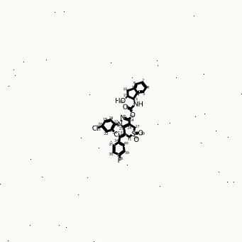 O=C(N[C@@H]1c2ccccc2C[C@@H]1O)Oc1nn(-c2ccc(Cl)cc2Cl)c2c1CS(=O)(=O)C/C2=C\c1ccc(F)cc1